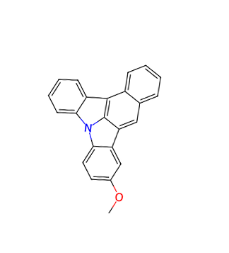 COc1ccc2c(c1)c1cc3ccccc3c3c4ccccc4n2c13